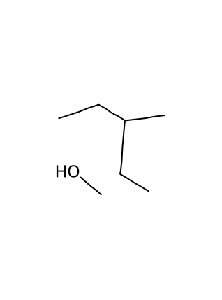 CCC(C)CC.CO